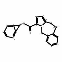 O=C(NC1c2cccnc21)c1ccc2n1Cc1ccccc1NC2